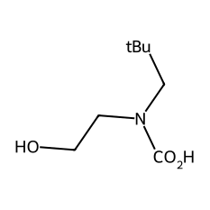 CC(C)(C)CN(CCO)C(=O)O